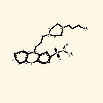 CN(C)S(=O)(=O)c1ccc2c(c1)N(CCCN1CCN(CCCN)CC1)c1ccccc1S2